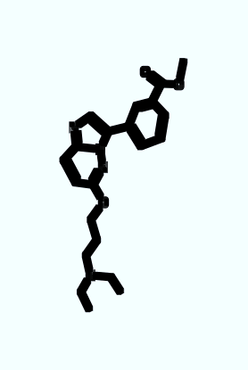 CCN(CC)CCCOc1ccc2ncc(-c3cccc(C(=O)OC)c3)n2n1